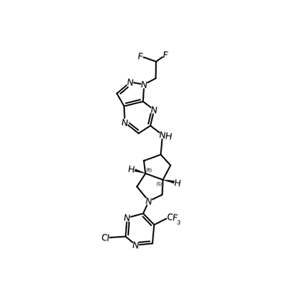 FC(F)Cn1ncc2ncc(NC3C[C@@H]4CN(c5nc(Cl)ncc5C(F)(F)F)C[C@@H]4C3)nc21